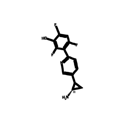 N[C@H]1CC1c1ccc(-c2c(F)cc(F)c(O)c2F)nc1